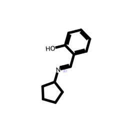 Oc1ccccc1/C=N/C1CCCC1